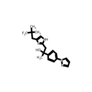 CC(O)(Cc1nc(CC(C)(C)C(F)(F)F)c[nH]1)c1ccc(-n2cccn2)cc1